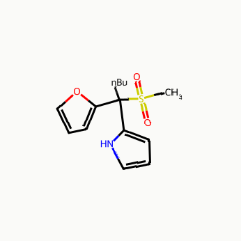 CCCCC(c1ccc[nH]1)(c1ccco1)S(C)(=O)=O